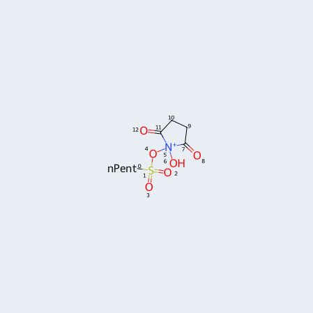 CCCCCS(=O)(=O)O[N+]1(O)C(=O)CCC1=O